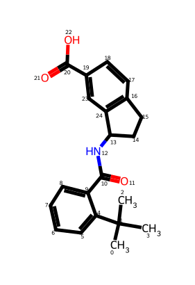 CC(C)(C)c1ccccc1C(=O)NC1CCc2ccc(C(=O)O)cc21